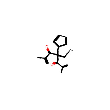 C=C(C)C(=O)C([CH2][Pt])(C(=O)C(=C)C)C1C=CC=C1